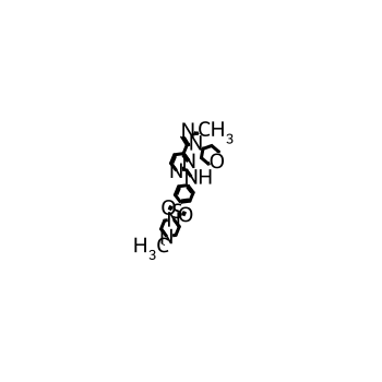 Cc1ncc(-c2ccnc(Nc3ccc(S(=O)(=O)N4CCN(C)CC4)cc3)n2)n1C1CCOCC1